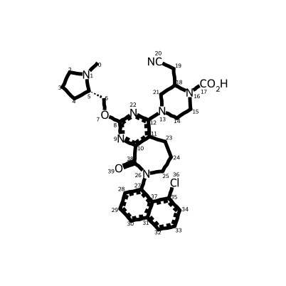 CN1CCC[C@H]1COc1nc2c(c(N3CCN(C(=O)O)C(CC#N)C3)n1)CCCN(c1cccc3cccc(Cl)c13)C2=O